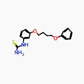 NC(=S)Nc1cccc(OCCCCOc2ccccc2)c1